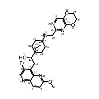 COc1ccc2ncc(F)c(C[C@@H](O)C34CCC(NCc5ncc6c(n5)OCCO6)(CC3)CO4)c2n1